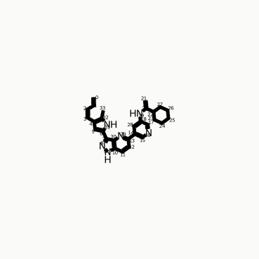 C=C/C=C\c1cc(-c2n[nH]c3ccc(-c4cncc(NC(=C)C5CCCCC5)c4)nc23)[nH]c1C